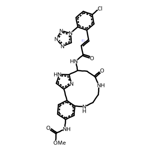 COC(=O)Nc1ccc2c(c1)NCCNC(=O)CC(NC(=O)/C=C/c1cc(Cl)ccc1-n1cnnn1)c1nc-2c[nH]1